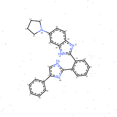 c1ccc(-c2c[nH]c(-c3ccccc3-c3nc4ccc(N5CCCC5)cc4[nH]3)n2)cc1